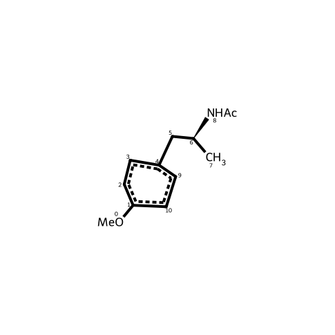 COc1ccc(C[C@H](C)NC(C)=O)cc1